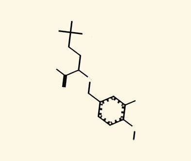 COc1ccc(CNC(CCC(C)(C)C)C(=O)O)cc1O